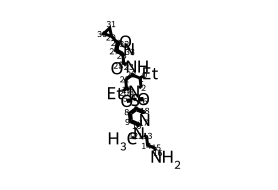 CCC1CN(S(=O)(=O)c2ccc(N(C)CCCN)nc2)C(CC)CC1NC(=O)c1cc(C2CC2)on1